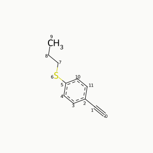 [C]#Cc1ccc(SCCC)cc1